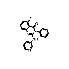 O=c1c2c(F)cccc2nc(Nc2cccnc2)n1-c1ccccc1